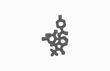 CC(C)(C)N1C(=O)C2=CC=CC(OC(=O)N3CCNCC3)(C3CCC(=O)NC3=O)C2C1=O